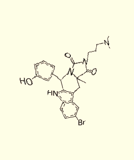 CN(C)CCCN1C(=O)N2C(c3cccc(O)c3)c3[nH]c4ccc(Br)cc4c3CC2(C)C1=O